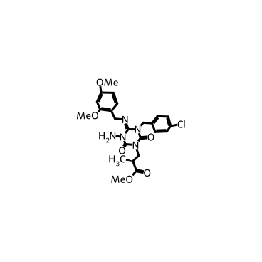 COC(=O)[C@@H](C)Cn1c(=O)n(N)/c(=N\Cc2ccc(OC)cc2OC)n(Cc2ccc(Cl)cc2)c1=O